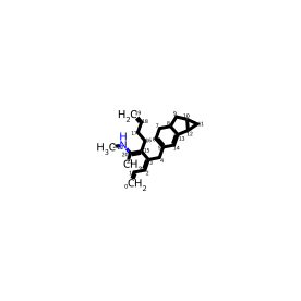 C=C/C=C(CC1=CCC2CC3CC3C2=C1)\C(CCC=C)=C(/C)NC